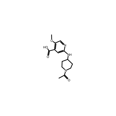 COc1cnc(NC2CCN(C(C)=O)CC2)cc1C(=O)O